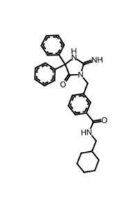 N=C1NC(c2ccccc2)(c2ccccc2)C(=O)N1Cc1cccc(C(=O)NCC2CCCCC2)c1